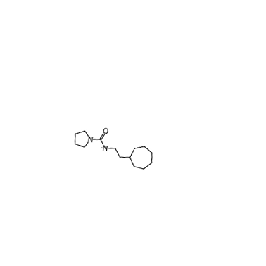 O=C([N]CCC1CCCCCC1)N1CCCC1